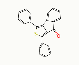 O=C1c2ccccc2-c2c(-c3ccccc3)sc(-c3ccccc3)c21